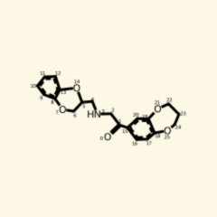 O=C(CNCC1COc2ccccc2O1)c1ccc2c(c1)OCCCO2